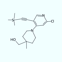 CC1(CO)CCN(c2cc(Cl)ncc2C#C[Si](C)(C)C)CC1